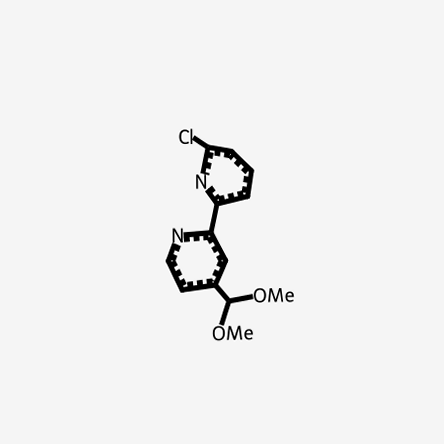 COC(OC)c1ccnc(-c2cccc(Cl)n2)c1